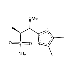 CO[C@H](c1nc(C)c(C)s1)[C@H](C)S(N)(=O)=O